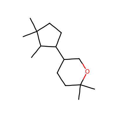 CC1C(C2CCC(C)(C)OC2)CCC1(C)C